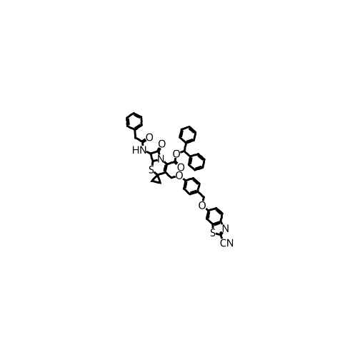 N#Cc1nc2ccc(OCc3ccc(OCC4=C(C(=O)OC(c5ccccc5)c5ccccc5)N5C(=O)C(NC(=O)Cc6ccccc6)C5SC45CC5)cc3)cc2s1